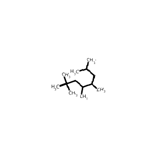 [CH2]C(C)CC(C)C(C)CC(C)(C)C